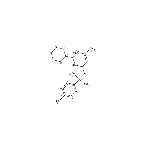 CC(C)=CC(CC(C)(C)c1ccc(C)cc1)NCC1CCCCC1